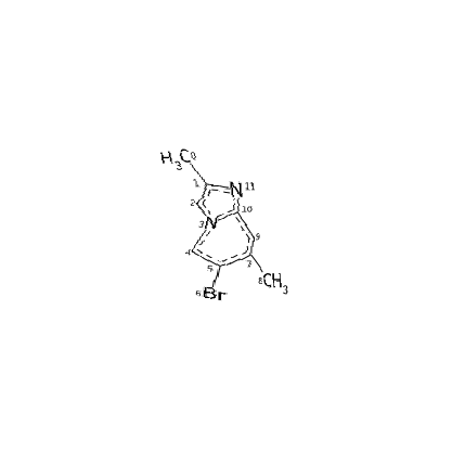 Cc1cn2cc(Br)c(C)cc2n1